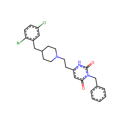 O=c1cc(CCN2CCC(Cc3cc(Cl)ccc3Br)CC2)[nH]c(=O)n1Cc1ccccc1